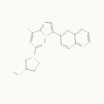 CNC1CCN(c2cc(C)c3ncc(-c4ccc5ncccc5c4)n3n2)C1